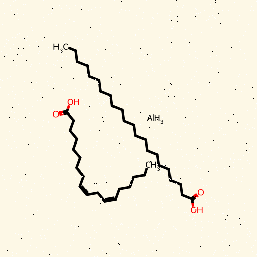 CCCCC/C=C\C/C=C\CCCCCCCC(=O)O.CCCCCCCCCCCCCCCCCCCCCC(=O)O.[AlH3]